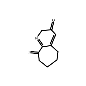 O=C1C=C2CCCCC(=O)C2=NC1